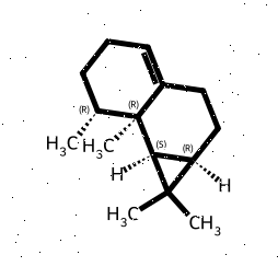 C[C@@H]1CCC=C2CC[C@@H]3[C@@H](C3(C)C)[C@]21C